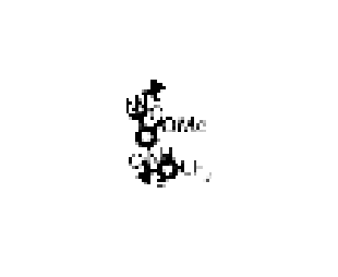 COC(=O)c1cc(NC(=O)C2(c3ccc(C(F)(F)F)cc3F)CC2)ccc1-c1cnn(CC2(C)CC2)c1